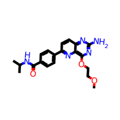 COCCOc1nc(N)nc2ccc(-c3ccc(C(=O)NC(C)C)cc3)nc12